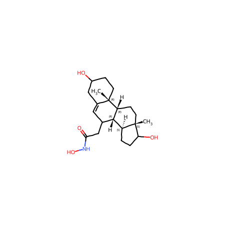 C[C@]12CCC(O)CC1=CC(CC(=O)NO)[C@@H]1[C@H]2CC[C@]2(C)C(O)CC[C@@H]12